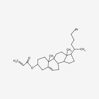 C=CC(=O)OC1CCC2(C)C(=CCC3C2CCC2(C)C(C(C)CCCC(C)C)CCC32)C1